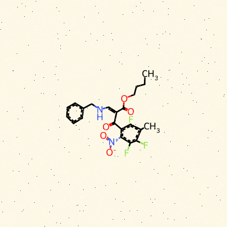 CCCCOC(=O)/C(=C/NCc1ccccc1)C(=O)c1c(F)c(C)c(F)c(F)c1[N+](=O)[O-]